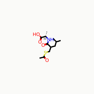 CC(=O)SCC(CC(C)C)C(=O)N[C@@H](C)C(=O)O